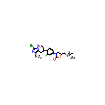 CC(C)(C)[Si](C)(C)OCC1CN(c2ccc(C(CO)Cc3[nH]c(Br)nc3[N+](=O)[O-])c(F)c2)C(=O)O1